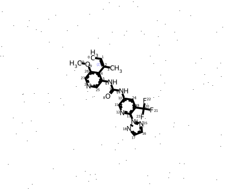 C/C=C(/C)c1c(NC(=O)Nc2cnc(-n3nccn3)c(C(F)(F)F)c2)cncc1OC